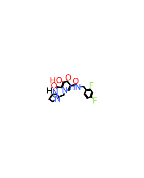 O=C(NCc1ccc(F)cc1F)c1cn2c(c(O)c1=O)C(=O)N1C(C2)N2CC[C@H]1C2